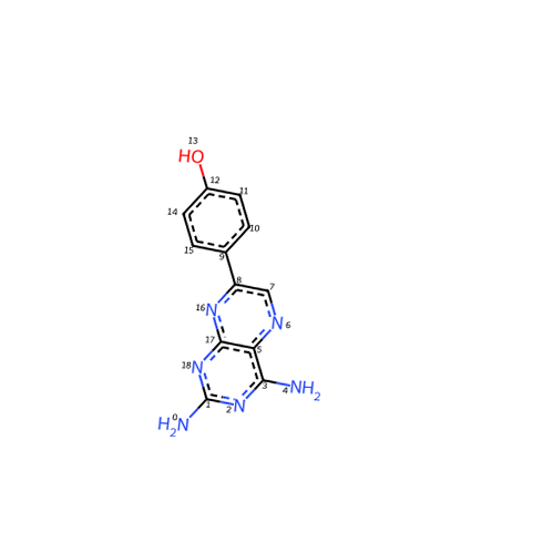 Nc1nc(N)c2ncc(-c3ccc(O)cc3)nc2n1